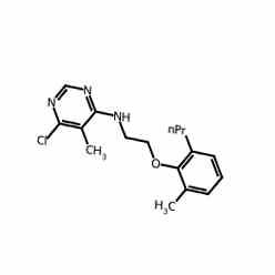 CCCc1cccc(C)c1OCCNc1ncnc(Cl)c1C